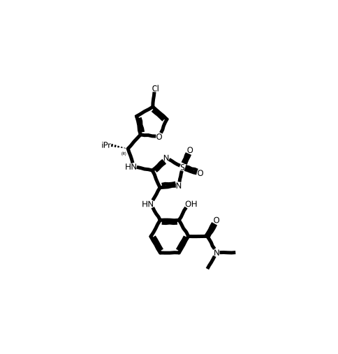 CC(C)[C@@H](NC1=NS(=O)(=O)N=C1Nc1cccc(C(=O)N(C)C)c1O)c1cc(Cl)co1